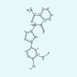 COc1ccc(-c2csc(NC(=O)c3ccccc3C(N)=O)n2)cc1OC